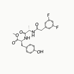 COC(=O)[C@H](Cc1ccc(O)cc1)NC(=O)[C@H](C)NC(=O)Cc1cc(F)cc(F)c1